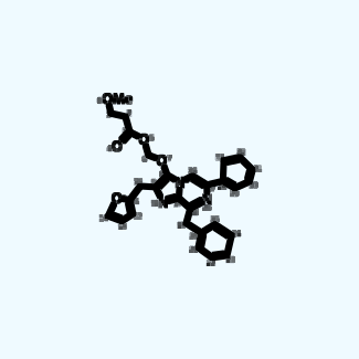 COCCC(=O)OCOc1c(Cc2ccco2)nc2c(Cc3ccccc3)nc(-c3ccccc3)cn12